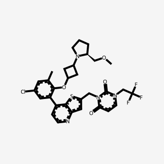 COC[C@@H]1CCCN1C1CC(Oc2c(C)cc(Cl)cc2-c2ccnc3cc(Cn4c(=O)ccn(CC(F)(F)F)c4=O)sc23)C1